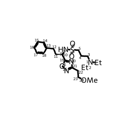 CCN(CC)CCCS(=O)(=O)N[C@H](CCc1ccccc1)c1nc(CCOC)no1